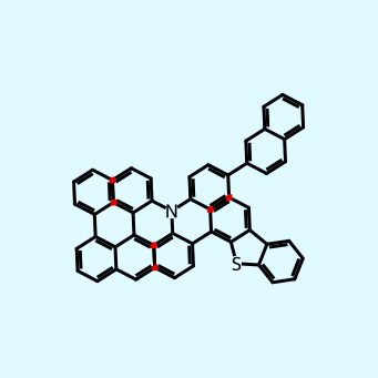 c1ccc(-c2cccc3cccc(-c4ccccc4N(c4ccc(-c5ccc6ccccc6c5)cc4)c4ccccc4-c4cccc5c4sc4ccccc45)c23)cc1